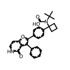 CC(C)(C)N(C(=O)O)C1(c2ccc(-c3oc4cc[nH]c(=O)c4c3-c3ccccc3)cc2)CCC1